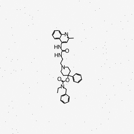 CCN(Cc1ccccc1)C(=O)OC1(c2ccccc2)CCN(CCNC(=O)Nc2cc(C)nc3ccccc23)CC1